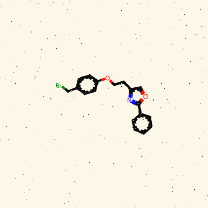 BrCc1ccc(OCCc2coc(-c3ccccc3)n2)cc1